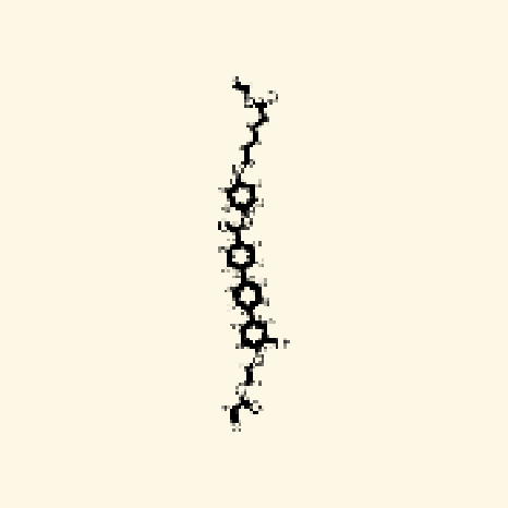 C=COC(=O)CCCCCOc1ccc(OC(=O)c2ccc(-c3ccc(-c4ccc(OCCOC(=O)C=C)c(CC)c4)cc3)cc2)cc1